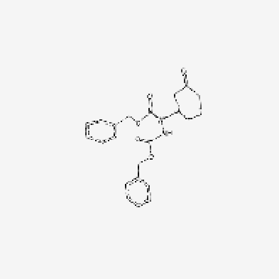 O=C1CCCC(N(NC(=O)OCc2ccccc2)C(=O)OCc2ccccc2)C1